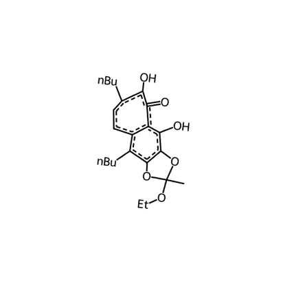 CCCCc1ccc2c(CCCC)c3c(c(O)c2c(=O)c1O)OC(C)(OCC)O3